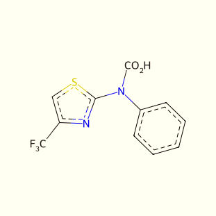 O=C(O)N(c1ccccc1)c1nc(C(F)(F)F)cs1